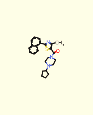 Cc1nc(-c2cccc3ccccc23)sc1C(=O)N1CCN(C2CCCC2)CC1